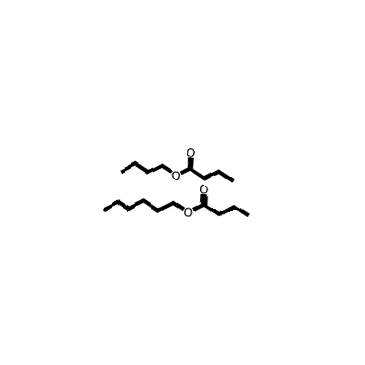 CCCCCCOC(=O)CCC.CCCCOC(=O)CCC